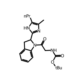 CCCc1[nH]c(C2Cc3ccccc3N2C(=O)CNC(=O)OC(C)(C)C)nc1C